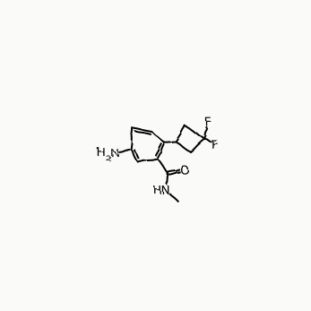 CNC(=O)c1cc(N)ccc1C1CC(F)(F)C1